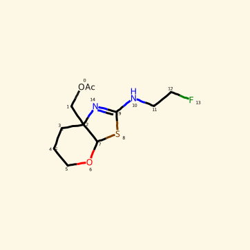 CC(=O)OCC12[C][C]COC1SC(NCCF)=N2